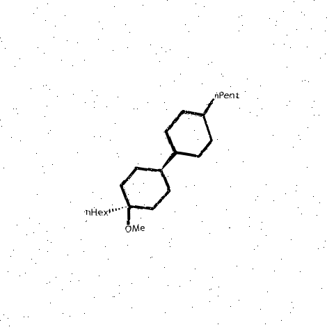 CCCCCC[C@]1(OC)CC[C@@H](C2CCC(CCCCC)CC2)CC1